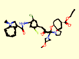 CCOC(=O)[C@H]1CC[C@H](OC(C(=O)Cc2cc(Cl)c(NC(=O)c3cn(C)c4ccccc34)cc2F)(N2CCCC2)N2CC(OC)C2)CC1